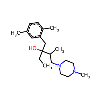 CCC(O)(Cc1cc(C)ccc1C)C(C)CN1CCN(C)CC1